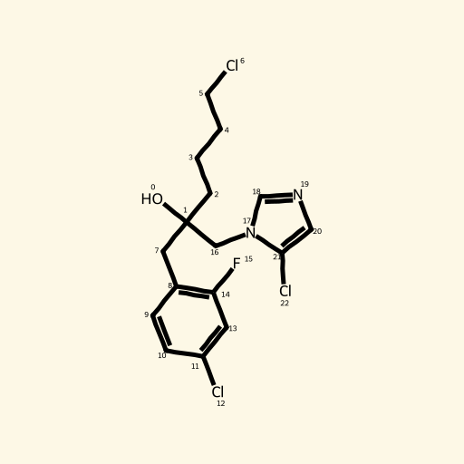 OC(CCCCCl)(Cc1ccc(Cl)cc1F)Cn1cncc1Cl